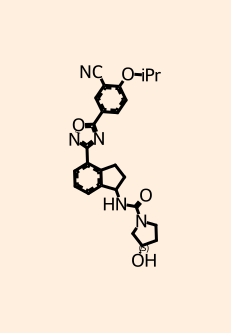 CC(C)Oc1ccc(-c2nc(-c3cccc4c3CCC4NC(=O)N3CC[C@H](O)C3)no2)cc1C#N